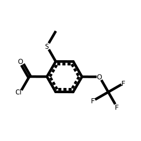 CSc1cc(OC(F)(F)F)ccc1C(=O)Cl